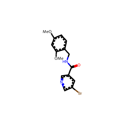 COc1ccc(CNC(=O)c2cncc(Br)c2)c(OC)c1